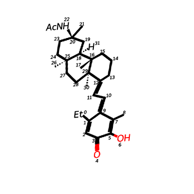 CCC1=CC(=O)C(O)=C(C)/C1=C/C=C1\CCC[C@@]2(C)[C@@H]3C[C@](C)(NC(C)=O)CC[C@]3(C)CC[C@]12C